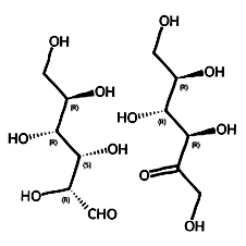 O=C(CO)[C@H](O)[C@H](O)[C@H](O)CO.O=C[C@H](O)[C@@H](O)[C@H](O)[C@H](O)CO